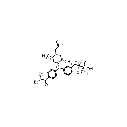 C=CCN1C[C@H](C)N([C@H](c2ccc(C(=O)N(CC)CC)cc2)c2cccc(CC(C)(C)[Si](C)(C)O)c2)C[C@H]1C